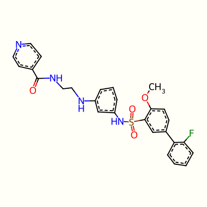 COc1ccc(-c2ccccc2F)cc1S(=O)(=O)Nc1cccc(NCCNC(=O)c2ccncc2)c1